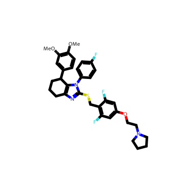 COc1ccc(C2CCCc3nc(SCc4c(F)cc(OCCN5CCCC5)cc4F)n(-c4ccc(F)cc4)c32)cc1OC